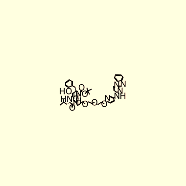 CC(C)C[C@H](NC(=O)[C@@H](O)[C@@H](Cc1ccccc1)NC(=O)OC(C)(C)C)C(=O)NCCOCCOCCOc1ccc(Nc2ccn3c(n2)nc2ccccc23)cn1